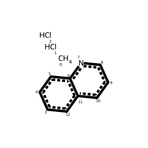 C.Cl.Cl.c1ccc2ncccc2c1